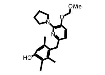 COCOc1ccc(Cc2c(C)cc(O)c(C)c2C)nc1N1CCCC1